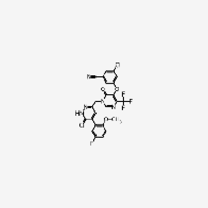 COc1ccc(F)cc1-c1cc(Cn2cnc(C(F)(F)F)c(Oc3cc(Cl)cc(C#N)c3)c2=O)n[nH]c1=O